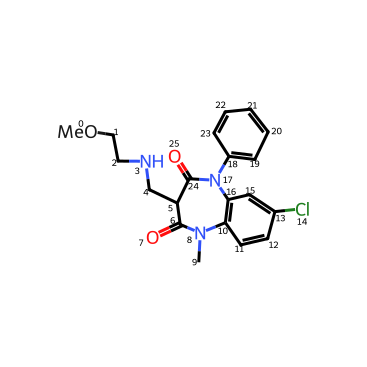 COCCNCC1C(=O)N(C)c2ccc(Cl)cc2N(c2ccccc2)C1=O